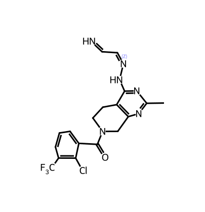 Cc1nc2c(c(N/N=C\C=N)n1)CCN(C(=O)c1cccc(C(F)(F)F)c1Cl)C2